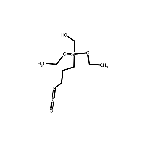 CCO[Si](CO)(CCCN=C=O)OCC